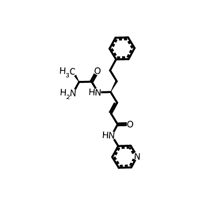 C[C@H](N)C(=O)N[C@H](C=CC(=O)Nc1cccnc1)CCc1ccccc1